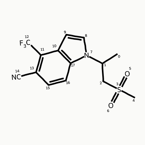 CC(CS(C)(=O)=O)n1ccc2c(C(F)(F)F)c(C#N)ccc21